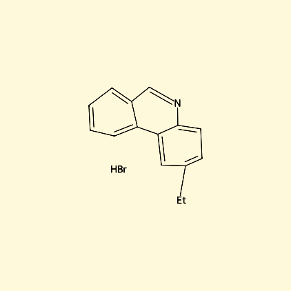 Br.CCc1ccc2ncc3ccccc3c2c1